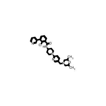 CC1CN(Cc2ccc(N3CCC(NC(=O)c4cccc(-c5cccnc5)c4Cl)CC3)nc2)CC(C)O1